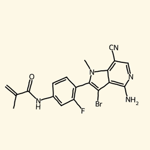 C=C(C)C(=O)Nc1ccc(-c2c(Br)c3c(N)ncc(C#N)c3n2C)c(F)c1